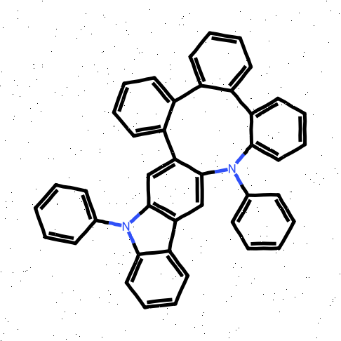 c1ccc(-n2c3ccccc3c3ccccc3c3ccccc3c3cc4c(cc32)c2ccccc2n4-c2ccccc2)cc1